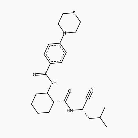 CC(C)C[C@@H](C#N)NC(=O)[C@@H]1CCCCC1NC(=O)c1ccc(N2CCSCC2)cc1